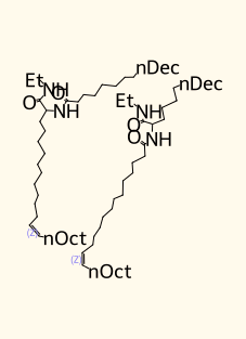 CCCCCCCC/C=C\CCCCCCCCCCC(NC(=O)CCCCCCCCCCCCCCCCC)C(=O)NCC.CCCCCCCC/C=C\CCCCCCCCCCCC(=O)NC(CCCCCCCCCCCCCC)C(=O)NCC